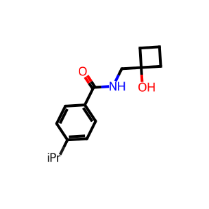 CC(C)c1ccc(C(=O)NCC2(O)CCC2)cc1